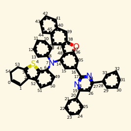 C1=Cc2c(sc3c(N(c4ccccc4)c4cc(-c5nc(-c6ccccc6)cc(-c6ccccc6)n5)cc5oc6cc7ccccc7cc6c45)cccc23)CC1